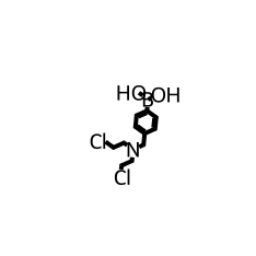 OB(O)c1ccc(CN(CCCl)CCCl)cc1